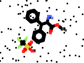 COC(=O)C(N)C(c1ccccc1)c1ccccc1.O=S(=O)(O)C(F)(F)F